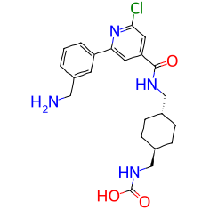 NCc1cccc(-c2cc(C(=O)NC[C@H]3CC[C@H](CNC(=O)O)CC3)cc(Cl)n2)c1